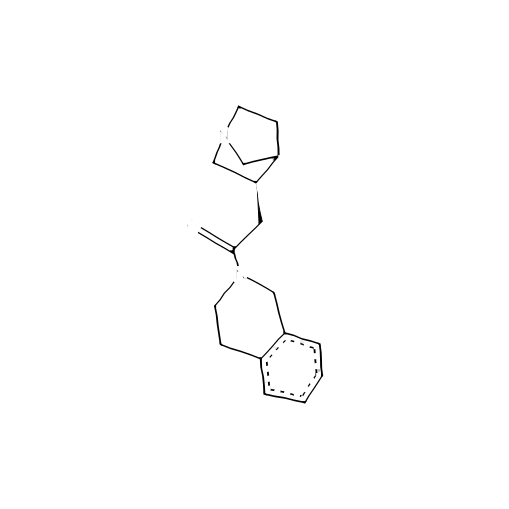 O=C(C[C@H]1CN2CCC1C2)N1CCc2ccccc2C1